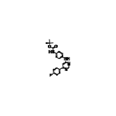 CC(C)(C)OC(=O)Nc1ccc(Nc2cc(-c3ccc(F)cc3)ncn2)cc1